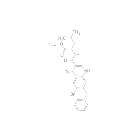 COC(=O)C(CC(C)C)NC(=O)c1c[nH]c2cc(Cc3ccccc3)c(Br)cc2c1=O